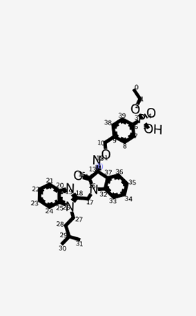 CCOP(=O)(O)c1ccc(CO/N=C2/C(=O)N(Cc3nc4ccccc4n3CCC(C)C)c3ccccc32)cc1